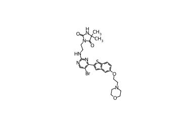 CC1(C)NC(=O)N(CCNc2ncc(Br)c(-c3cc4cc(OCCN5CCOCC5)ccc4s3)n2)C1=O